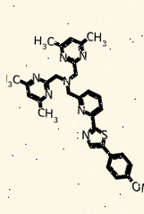 COc1ccc(-c2cnc(-c3cccc(CN(Cc4nc(C)cc(C)n4)Cc4nc(C)cc(C)n4)n3)s2)cc1